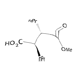 CCC[C@H](C(=O)OC)[C@@H](CCC)C(=O)O